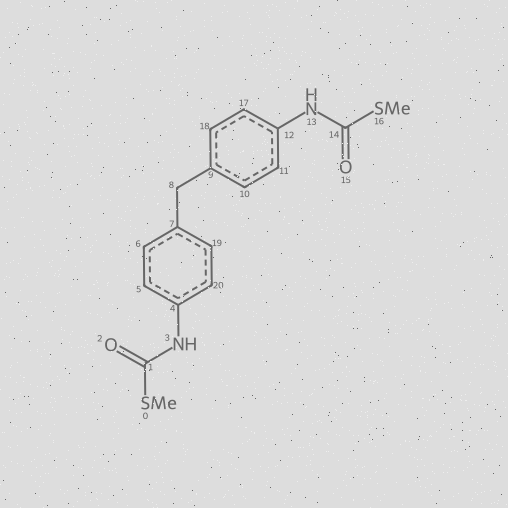 CSC(=O)Nc1ccc(Cc2ccc(NC(=O)SC)cc2)cc1